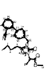 CCCCc1nn(C(C)C(=O)OC)c(=O)n1Cc1ccc(-c2ccccc2C#N)cc1